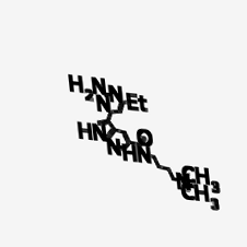 CCc1cc(-c2c[nH]c3ncc(C(=O)NCCCCN(C)C)cc23)nc(N)n1